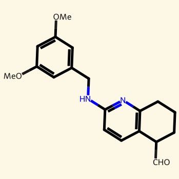 COc1cc(CNc2ccc3c(n2)CCCC3C=O)cc(OC)c1